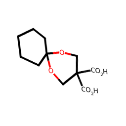 O=C(O)C1(C(=O)O)COC2(CCCCC2)OC1